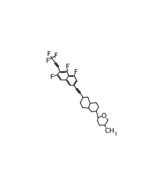 CC1CCC(C2CCC3CC(C#Cc4cc(F)c5c(F)c(C#CC(F)(F)F)c(F)cc5c4)CCC3C2)OC1